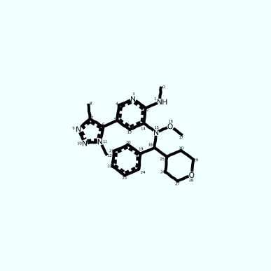 CNc1ncc(-c2c(C)nnn2C)cc1N(OC)C(c1ccccc1)C1CCOCC1